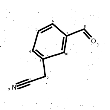 N#CCc1cccc(C=O)c1